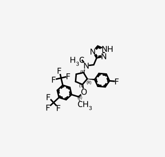 C[C@@H](O[C@H]1CC[C@H](N(C)Cc2nc[nH]n2)[C@H]1c1ccc(F)cc1)c1cc(C(F)(F)F)cc(C(F)(F)F)c1